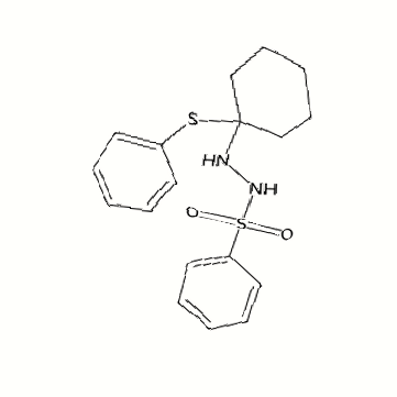 O=S(=O)(NNC1(Sc2ccccc2)CCCCC1)c1ccccc1